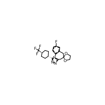 Fc1ccc2c(c1)CC1(Cc3nnc([C@H]4CC[C@H](C(F)(F)F)CC4)n3-2)OCCO1